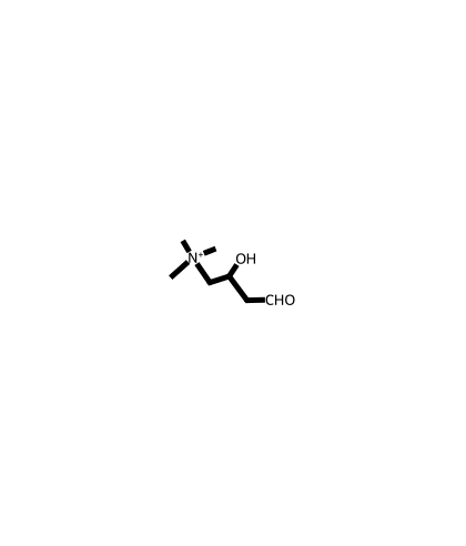 C[N+](C)(C)CC(O)CC=O